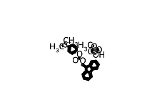 COS(=O)(=O)O.C[S+](C)c1ccc(OC(=O)OCC2c3ccccc3-c3ccccc32)cc1